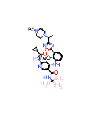 BC(B)(B)NC(=O)c1cnc(NC(=O)C2CC2)cc1Nc1cccc(-c2nc(C(C)N3CCN(C(C)=O)CC3)no2)c1OC